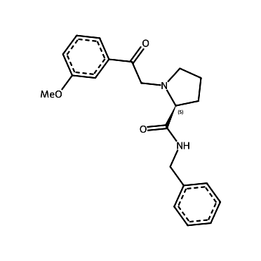 COc1cccc(C(=O)CN2CCC[C@H]2C(=O)NCc2ccccc2)c1